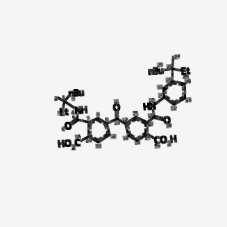 CCCCC(C)(CC)NC(=O)c1cc(C(=O)c2ccc(C(=O)O)c(C(=O)Nc3cccc(C(C)(CC)CCCC)c3)c2)ccc1C(=O)O